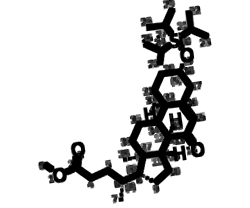 COC(=O)CC[C@@H](C)[C@H]1CC[C@H]2[C@@H]3C(=O)C=C4C[C@@H](O[Si](C(C)C)(C(C)C)C(C)C)CC[C@]4(C)[C@H]3CC[C@]12C